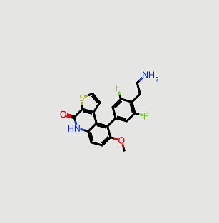 COc1ccc2[nH]c(=O)c3sccc3c2c1-c1cc(F)c(CCN)c(F)c1